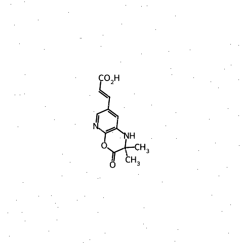 CC1(C)Nc2cc(/C=C/C(=O)O)cnc2OC1=O